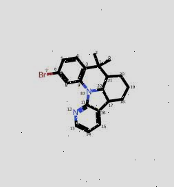 CC1(C)c2ccc(Br)cc2N2c3ncccc3C3CCCC1C32